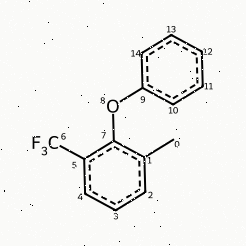 Cc1cccc(C(F)(F)F)c1Oc1ccccc1